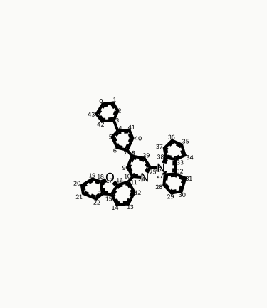 c1ccc(-c2ccc(-c3cc(-c4cccc5c4oc4ccccc45)nc(-n4c5ccccc5c5ccccc54)c3)cc2)cc1